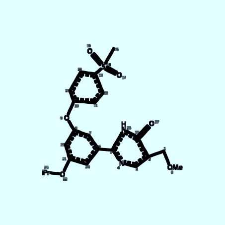 COCc1cnc(-c2cc(Oc3ccc(S(C)(=O)=O)cc3)cc(OC(C)C)c2)[nH]c1=O